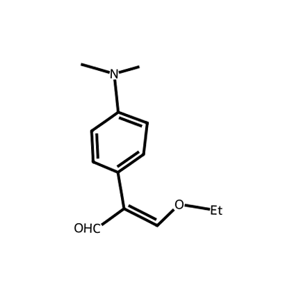 CCO/C=C(/C=O)c1ccc(N(C)C)cc1